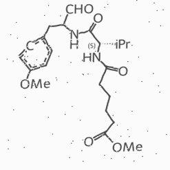 COC(=O)CCCCC(=O)N[C@H](C(=O)NC(C=O)Cc1ccc(OC)cc1)C(C)C